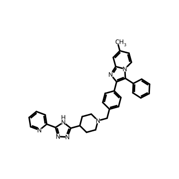 Cc1ccn2c(-c3ccccc3)c(-c3ccc(CN4CCC(c5nnc(-c6ccccn6)[nH]5)CC4)cc3)nc2c1